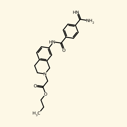 CCCOC(=O)CN1CCc2ccc(NC(=O)c3ccc(C(=N)N)cc3)cc2C1